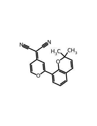 CC1(C)C=Cc2cccc(C3=CC(=C(C#N)C#N)C=CO3)c2O1